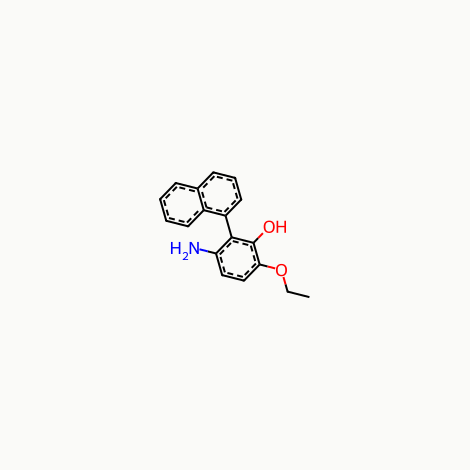 CCOc1ccc(N)c(-c2cccc3ccccc23)c1O